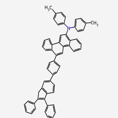 Cc1ccc(N(c2ccc(C)cc2)c2cc3c4ccccc4c(-c4ccc(-c5ccc6c(c5)CC(c5ccccc5)=C6c5ccccc5)cc4)cc3c3ccccc23)cc1